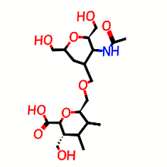 CC(=O)NC1C(COC[C@@H]2OC(C(=O)O)[C@@H](CO)C(C)C2C)CC(CO)O[C@H]1CO